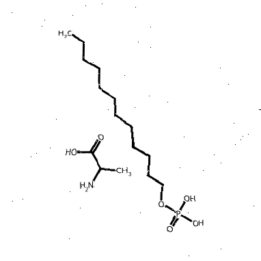 CC(N)C(=O)O.CCCCCCCCCCCCOP(=O)(O)O